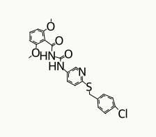 COc1cccc(OC)c1C(=O)NC(=O)Nc1ccc(SCc2ccc(Cl)cc2)nc1